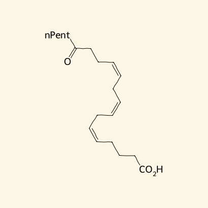 CCCCCC(=O)CC/C=C\C/C=C\C/C=C\CCCC(=O)O